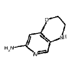 Nc1cc2c(cn1)NCCO2